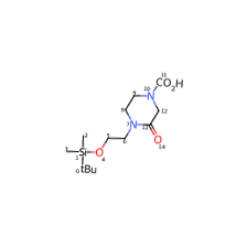 CC(C)(C)[Si](C)(C)OCCN1CCN(C(=O)O)CC1=O